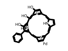 OC1=Cc2cc3ccc(cc4nc(cc5c(-c6ccccc6)c(O)c(c(O)c1n2)n5O)C=C4)[nH]3.[Pd]